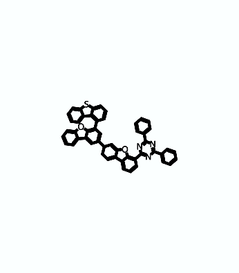 C1=c2oc3c(-c4nc(-c5ccccc5)nc(-c5ccccc5)n4)cccc3c2=CCC1c1cc(-c2cccc3sc4ccccc4c23)c2oc3ccccc3c2c1